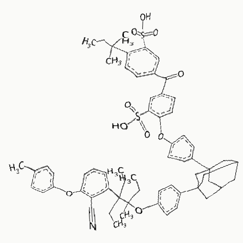 CCC(C)(C)c1ccc(C(=O)c2ccc(Oc3ccc(C45CC6CC(C4)CC(c4ccc(OC(C)(CC)C(CC)(CC)c7cccc(Oc8ccc(C)cc8)c7C#N)cc4)(C6)C5)cc3)c(S(=O)(=O)O)c2)cc1S(=O)(=O)O